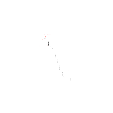 CCC(O)CCCCCCCCC(O)=CC(=O)O